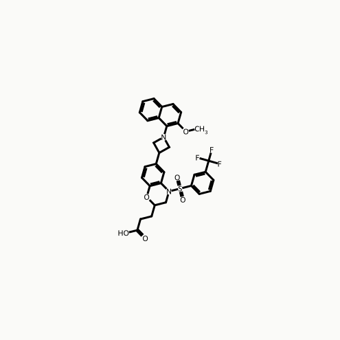 COc1ccc2ccccc2c1N1CC(c2ccc3c(c2)N(S(=O)(=O)c2cccc(C(F)(F)F)c2)CC(CCC(=O)O)O3)C1